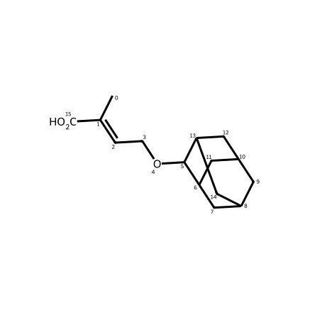 CC(=CCOC1C2CC3CC(C2)CC1C3)C(=O)O